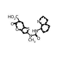 CN(C(=O)Nc1cccc2cccnc12)c1cc2oc(=O)c(C(=O)O)cc2s1